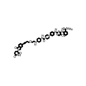 CNC(=O)c1ccccc1Nc1nc(Nc2ccc(N3CCN(C(=O)N[C@H]4CC[C@@H](NCCOCCC#Cc5ccc6c(c5)CN(C5CCC(=O)NC5=O)C6=O)CC4)CC3)cc2)ncc1C#N